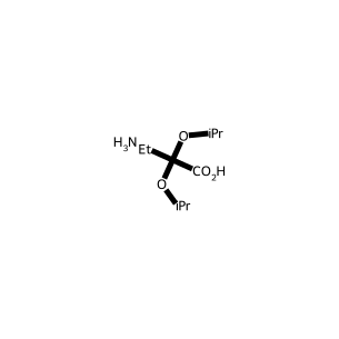 CCC(OC(C)C)(OC(C)C)C(=O)O.N